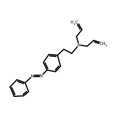 C=CCN(CC=C)CCc1ccc(N=Nc2ccccc2)cc1